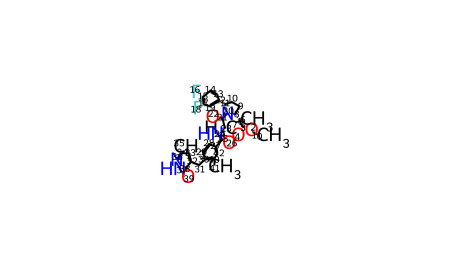 CCOC(=O)C(C)(C)[C@H]1CC[C@@H](c2ccc(F)c(F)c2)N1C(=O)CNC(=O)c1ccc(Cc2cc(C)n[nH]c2=O)c(C)c1